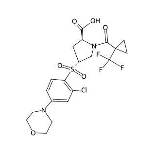 O=C(O)[C@@H]1C[C@@H](S(=O)(=O)c2ccc(N3CCOCC3)cc2Cl)CN1C(=O)C1(C(F)(F)F)CC1